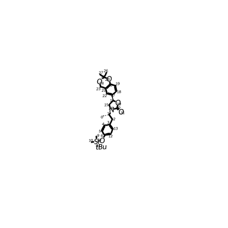 C[C@@H](Cc1ccc(O[Si](C)(C)C(C)(C)C)cc1)N1C[C@@H](c2ccc3c(c2)COC(C)(C)O3)OC1=O